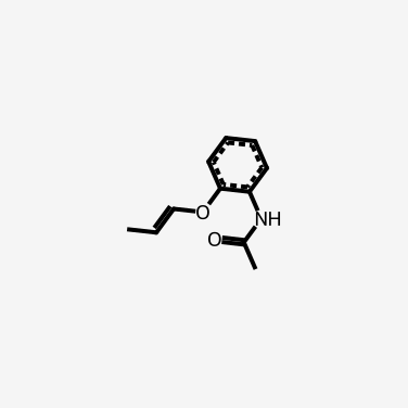 C/C=C/Oc1ccccc1NC(C)=O